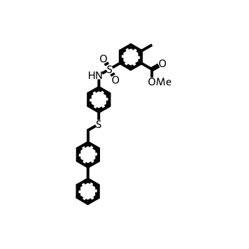 COC(=O)c1cc(S(=O)(=O)Nc2ccc(SCc3ccc(-c4ccccc4)cc3)cc2)ccc1C